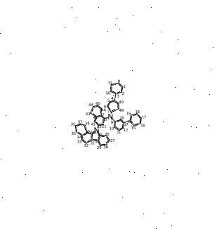 c1ccc(-c2ccc(N(c3cccc(-c4ccccc4)c3)c3cc(-n4c5ccccc5c5ccc6ccccc6c54)cc4ccccc34)cc2)cc1